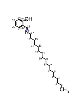 CCCCCCCCCCCCCCCCCC/N=C/c1ccccc1O